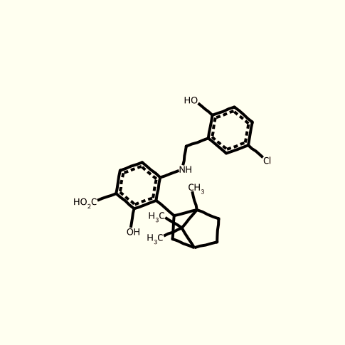 CC1(C)C2CCC1(C)C(c1c(NCc3cc(Cl)ccc3O)ccc(C(=O)O)c1O)C2